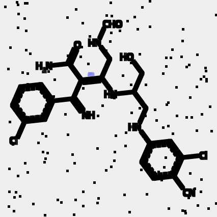 N#Cc1ccc(NCC(CO)N/C(CNC=O)=C(\C(=N)c2cccc(Cl)c2)C(N)=O)cc1Cl